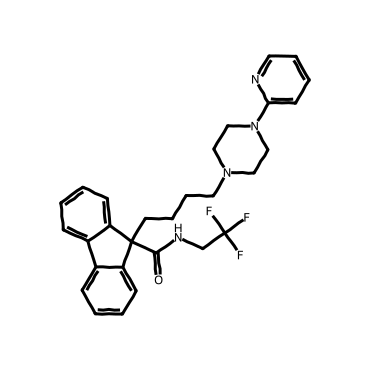 O=C(NCC(F)(F)F)C1(CCCCN2CCN(c3ccccn3)CC2)c2ccccc2-c2ccccc21